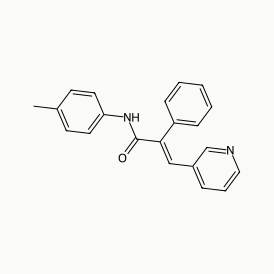 Cc1ccc(NC(=O)C(=Cc2cccnc2)c2ccccc2)cc1